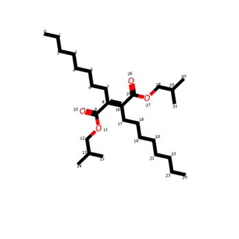 CCCCCCCCC(C(=O)OCC(C)C)=C(CCCCCCCC)C(=O)OCC(C)C